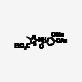 CCOC(=O)c1sc(NC(=O)c2ccc(OC(C)=O)c(OC)c2)nc1C